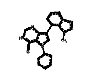 Cn1cnc2cccc(-c3cn(-c4ccccc4)c4c(=O)[nH]cnc34)c21